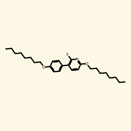 CCCCCCCCOc1ccc(-c2ccc(OCCCCCCCC)nc2F)cc1